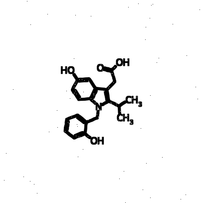 CC(C)c1c(CC(=O)O)c2cc(O)ccc2n1Cc1ccccc1O